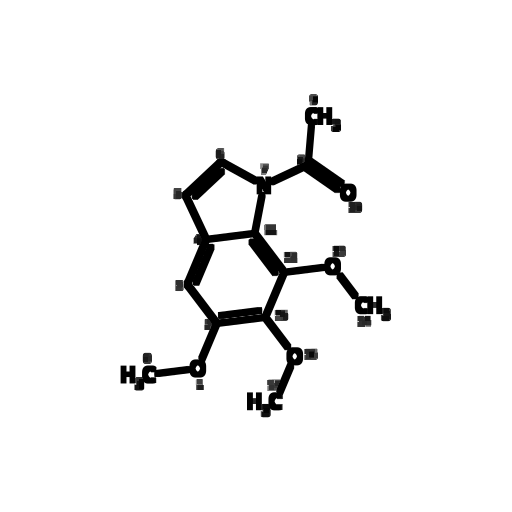 COc1cc2ccn(C(C)=O)c2c(OC)c1OC